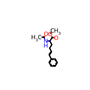 COC(=O)C(CC/C=C/c1ccccc1)NC(C)=O